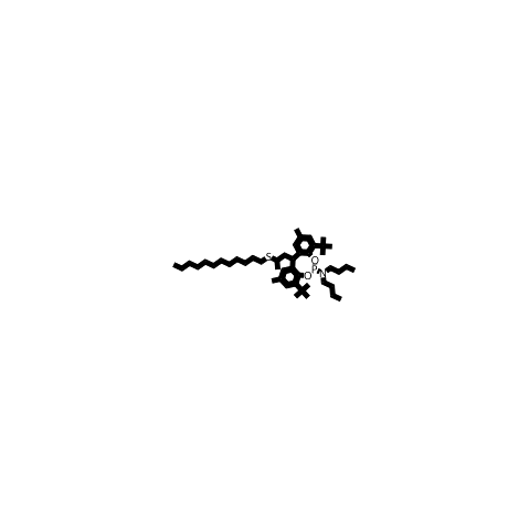 CCCCCCCCCCCCSC(C)CC1c2cc(C)cc(C(C)(C)C)c2OP(N(CCCC)CCCC)Oc2c1cc(C)cc2C(C)(C)C